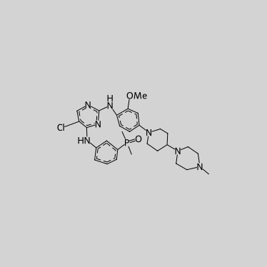 COc1cc(N2CCC(N3CCN(C)CC3)CC2)ccc1Nc1ncc(Cl)c(Nc2cccc(P(C)(C)=O)c2)n1